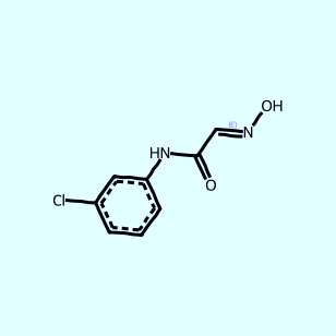 O=C(/C=N/O)Nc1cccc(Cl)c1